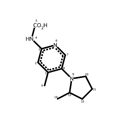 Cc1cc(NC(=O)O)ncc1N1CCCC1C